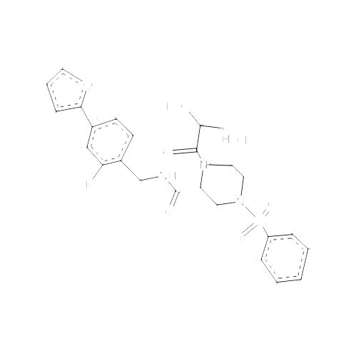 CC(C)C(=O)N1[C@H](C)CN(S(=O)(=O)c2ccccc2)C[C@@H]1C(=O)NCc1ccc(-c2ccco2)cc1F